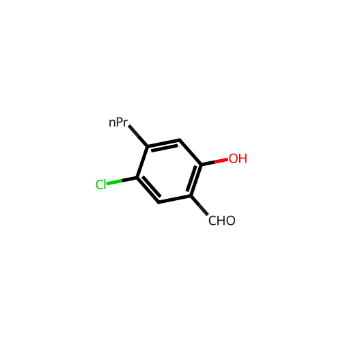 CCCc1cc(O)c(C=O)cc1Cl